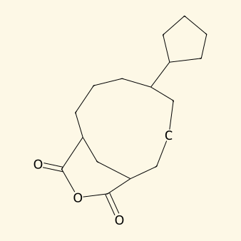 O=C1OC(=O)C2CCCC(C3CCCC3)CCCC1C2